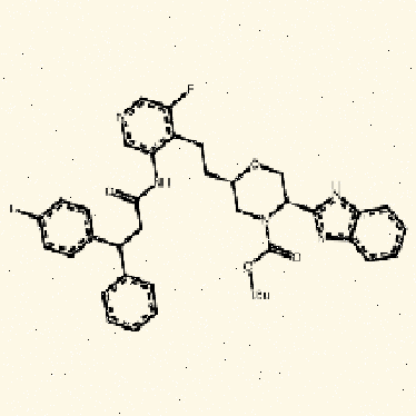 CC(C)(C)OC(=O)N1C[C@@H](CCc2c(F)cncc2NC(=O)CC(c2ccccc2)c2ccc(F)cc2)OC[C@H]1c1nc2ccccc2[nH]1